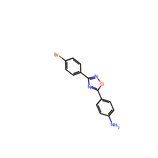 Nc1ccc(-c2nc(-c3ccc(Br)cc3)no2)cc1